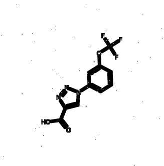 O=C(O)c1cn(-c2cccc(OC(F)(F)F)c2)nn1